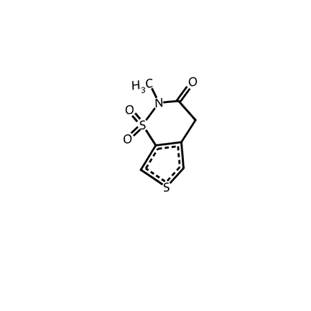 CN1C(=O)Cc2cscc2S1(=O)=O